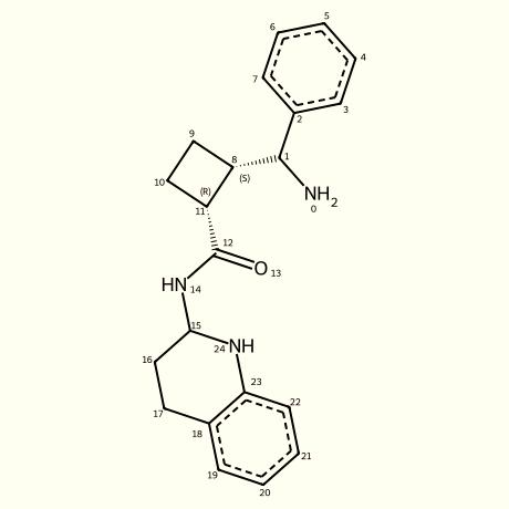 NC(c1ccccc1)[C@H]1CC[C@H]1C(=O)NC1CCc2ccccc2N1